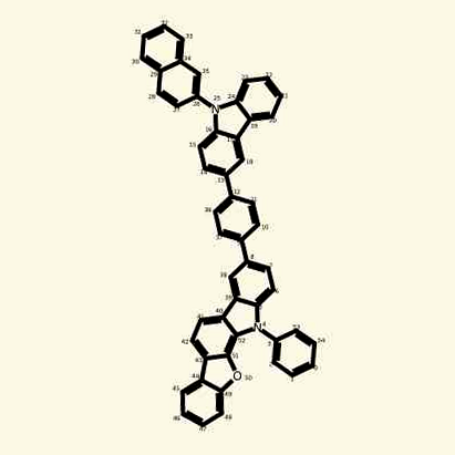 c1ccc(-n2c3ccc(-c4ccc(-c5ccc6c(c5)c5ccccc5n6-c5ccc6ccccc6c5)cc4)cc3c3ccc4c5ccccc5oc4c32)cc1